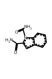 NC(=O)c1[c]c2ccccc2n1C(N)=O